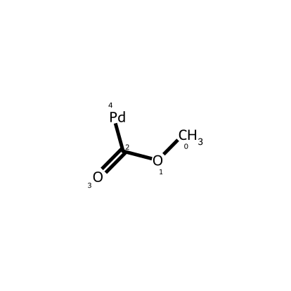 CO[C](=O)[Pd]